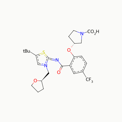 CC(C)(C)c1cn(C[C@H]2CCCO2)c(=NC(=O)c2cc(C(F)(F)F)ccc2O[C@@H]2CCN(C(=O)O)C2)s1